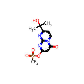 CC(C)(O)c1ccn2c(=O)cc(OS(=O)(=O)C(F)(F)F)nc2n1